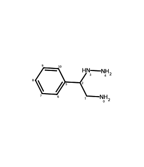 NCC(NN)c1ccccc1